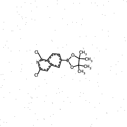 CC1(C)OB(c2ccc3c(Cl)nc(Cl)cc3c2)OC1(C)C